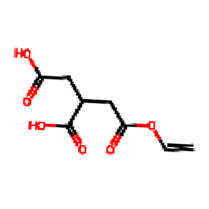 C=COC(=O)CC(CC(=O)O)C(=O)O